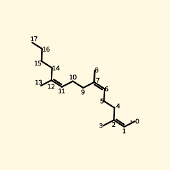 [CH2]C=C(C)CCC=C(C)CCC=C(C)CCCC